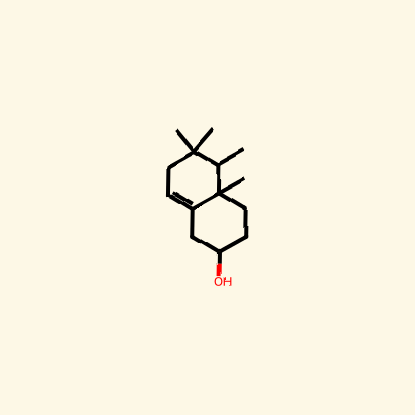 CC1C(C)(C)CC=C2CC(O)CCC21C